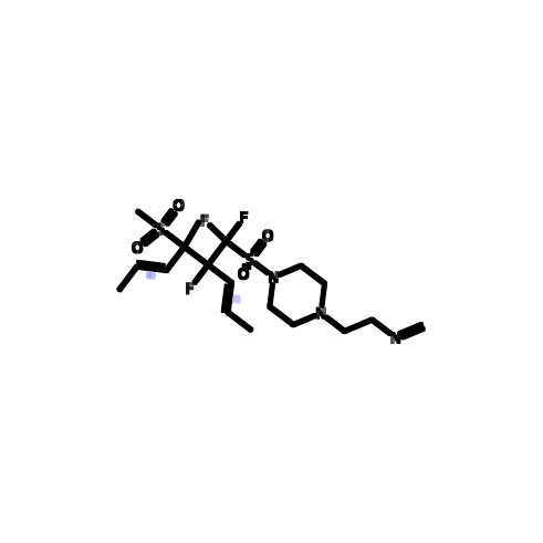 C=NCCN1CCN(S(=O)(=O)C(F)(F)C(F)(/C=C/C)C(C)(/C=C/C)S(C)(=O)=O)CC1